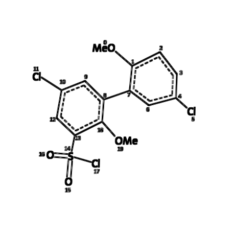 COc1ccc(Cl)cc1-c1cc(Cl)cc(S(=O)(=O)Cl)c1OC